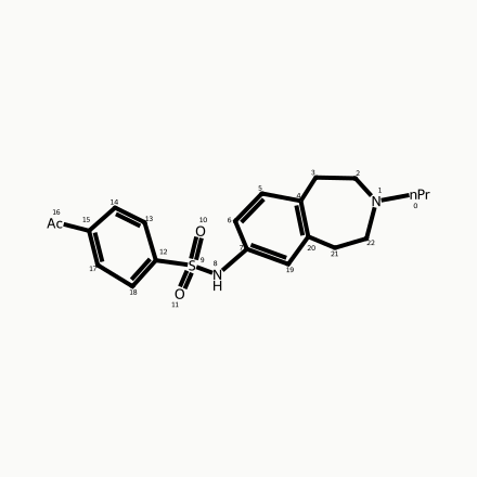 CCCN1CCc2ccc(NS(=O)(=O)c3ccc(C(C)=O)cc3)cc2CC1